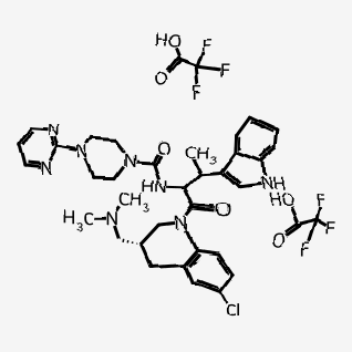 CC(c1c[nH]c2ccccc12)C(NC(=O)N1CCN(c2ncccn2)CC1)C(=O)N1C[C@@H](CN(C)C)Cc2cc(Cl)ccc21.O=C(O)C(F)(F)F.O=C(O)C(F)(F)F